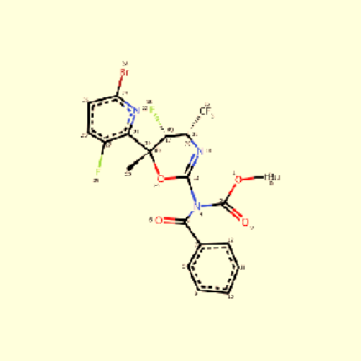 CC(C)(C)OC(=O)N(C(=O)c1ccccc1)C1=N[C@@H](C(F)(F)F)[C@@H](F)[C@@](C)(c2nc(Br)ccc2F)O1